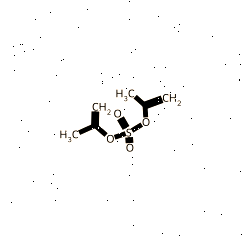 C=C(C)OS(=O)(=O)OC(=C)C